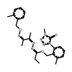 CC/C(=N/N=C(C)\C(C)=N/OCc1ccccc1C)OCc1c(C)cccc1-n1nnn(C)c1=O